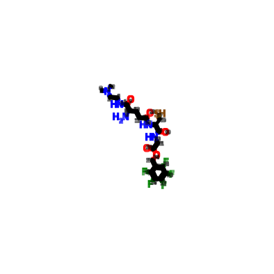 CN(C)CCNC(=O)[C@@H](N)CCC(=O)N[C@@H](CS)C(=O)NCC(=O)OCc1c(F)c(F)c(F)c(F)c1F